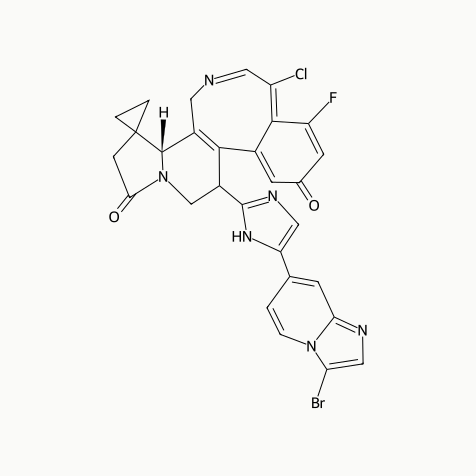 O=C1C=C(F)C2=C(Cl)C=NCC3=C(C2=C1)C(c1ncc(-c2ccn4c(Br)cnc4c2)[nH]1)CN1C(=O)CC2(CC2)[C@H]31